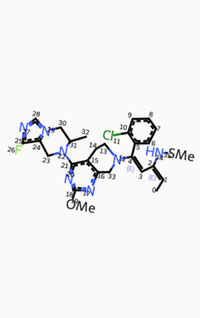 C/C=C(\C=C(/c1ccccc1Cl)N1CCc2c(nc(OC)nc2N2Cc3c(F)ncn3CC2C)C1)NSC